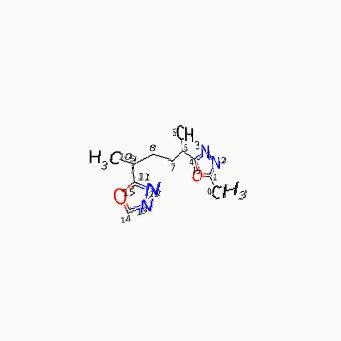 Cc1nnc(C(C)CCC(C)c2nnco2)o1